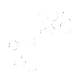 CCCCCCCCCCCCC(C#N)(CCCN(C)CCc1ccccc1OC(CCNC(C)=O)O[N+](=O)[O-])c1cc(OC)c(OC)c(OC)c1